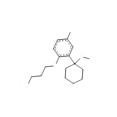 O=CNC1(c2cc(Cl)ccc2OCCCC(=O)O)CCCCC1